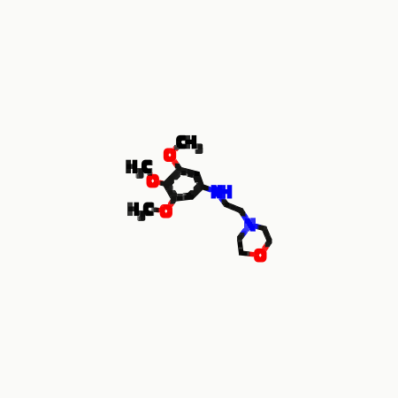 COc1cc(NCCN2CCOCC2)cc(OC)c1OC